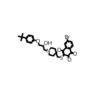 CC(C)(C)c1ccc(OC[C@H](O)CN2CCC3(CC2)CSC2=C(O3)c3cc(Br)ccc3C(=O)C2=O)cc1